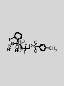 Cc1ccc(S(=O)(=O)OCC(F)(F)[C@@H](O)[C@H](O)[C@](C)(N=[N+]=[N-])c2ccccc2F)cc1